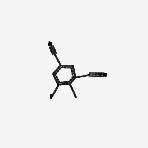 Cc1c(F)cc(C#N)cc1C#N